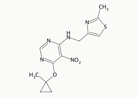 Cc1nc(CNc2ncnc(OC3(C)CC3)c2[N+](=O)[O-])cs1